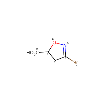 O=C(O)C1CC(Br)=NO1